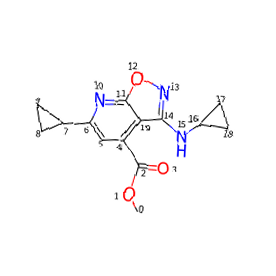 COC(=O)c1cc(C2CC2)nc2onc(NC3CC3)c12